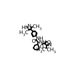 Cc1n[nH]c(C)c1-c1ccc(NC(=O)[C@@H](NC(=O)c2conc2C(C)C)C2CCCCC2)cc1